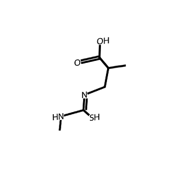 CN/C(S)=N/CC(C)C(=O)O